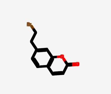 O=c1ccc2ccc(CCBr)cc2o1